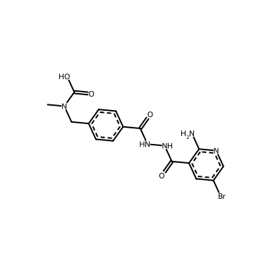 CN(Cc1ccc(C(=O)NNC(=O)c2cc(Br)cnc2N)cc1)C(=O)O